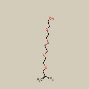 C=C(C)COCCOCCOCCOCCO